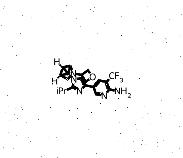 CC(C)c1nc(-c2cnc(N)c(C(F)(F)F)c2)cn1[C@@]12C3[C@H]1[C@H]2CN3C1COC1